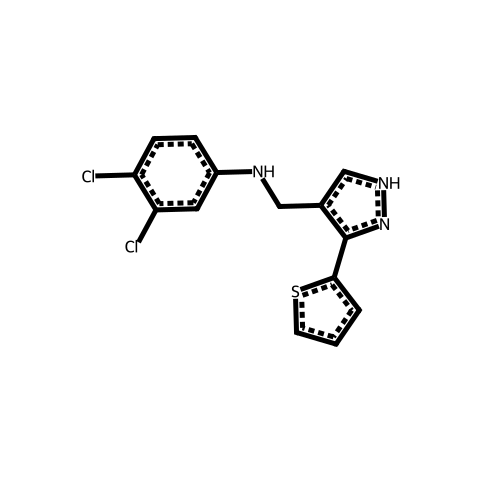 Clc1ccc(NCc2c[nH]nc2-c2cccs2)cc1Cl